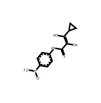 N#CC(C(=S)Nc1ccc([S+]([O-])C(F)(F)F)cc1)=C(O)C1CC1